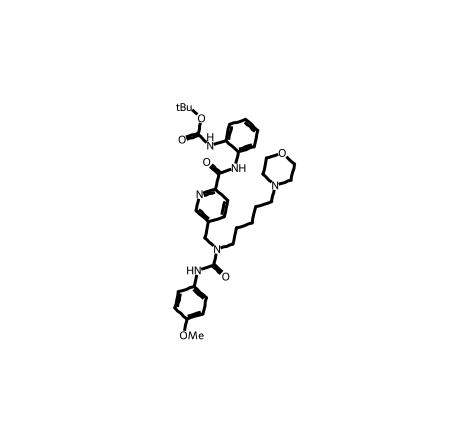 COc1ccc(NC(=O)N(CCCCCN2CCOCC2)Cc2ccc(C(=O)Nc3ccccc3NC(=O)OC(C)(C)C)nc2)cc1